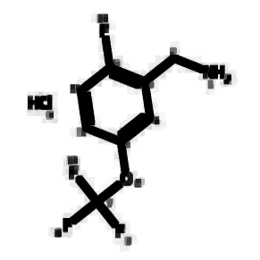 Cl.NCc1cc(OC(F)(F)F)ccc1F